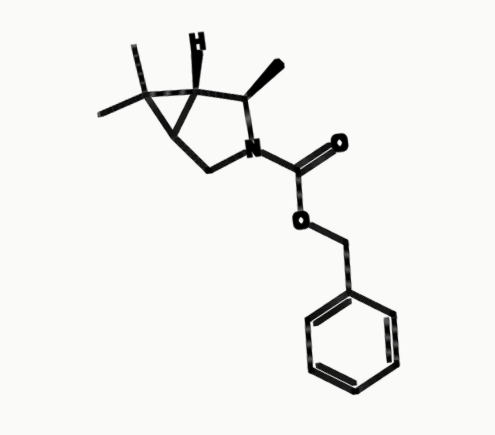 C[C@@H]1[C@@H]2C(CN1C(=O)OCc1ccccc1)C2(C)C